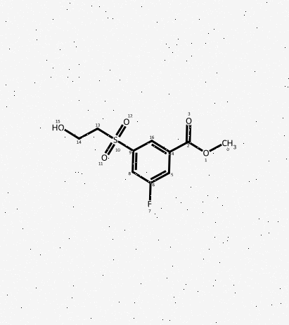 COC(=O)c1cc(F)cc(S(=O)(=O)CCO)c1